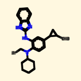 CC(C)CN(c1ccc(C2CC2C=O)cc1Nc1nc2ccccc2[nH]1)C1CCCCC1